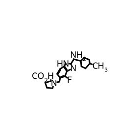 CC1CCC([C@H](N)c2nc3c(F)c(CN4CCC[C@H]4C(=O)O)ccc3[nH]2)CC1